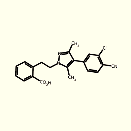 Cc1nn(CCc2ccccc2C(=O)O)c(C)c1-c1ccc(C#N)c(Cl)c1